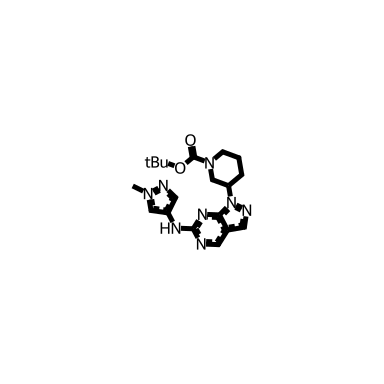 Cn1cc(Nc2ncc3cnn(C4CCCN(C(=O)OC(C)(C)C)C4)c3n2)cn1